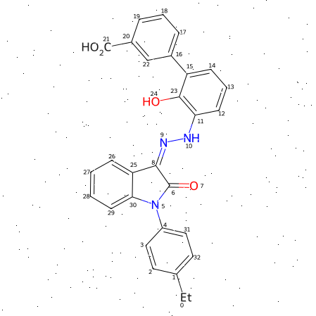 CCc1ccc(N2C(=O)C(=NNc3cccc(-c4cccc(C(=O)O)c4)c3O)c3ccccc32)cc1